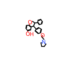 Oc1ccc2c(c1)C(c1ccc(OCCN3CCCC3)cc1)C(c1ccccc1)CO2